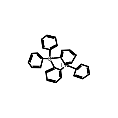 c1ccc(Nc2ccccc2[B-](c2ccccc2)(c2ccccc2)c2ccccc2)cc1